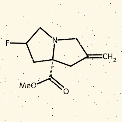 C=C1CN2CC(F)C[C@]2(C(=O)OC)C1